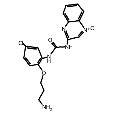 NCCCOc1ccc(Cl)cc1NC(=O)Nc1c[n+]([O-])c2ccccc2n1